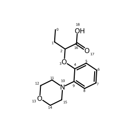 CCC(Oc1ccccc1N1CCOCC1)C(=O)O